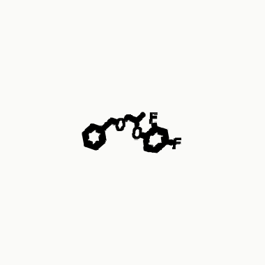 CC(COCc1ccccc1)Oc1ccc(F)cc1F